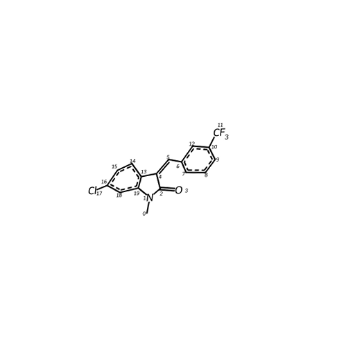 CN1C(=O)C(=Cc2cccc(C(F)(F)F)c2)c2ccc(Cl)cc21